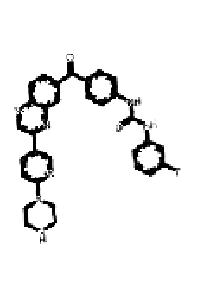 O=C(Nc1ccc(C(=O)c2ccc3ncc(-c4ccc(N5CCNCC5)nc4)nc3c2)cc1)Nc1cccc(F)c1